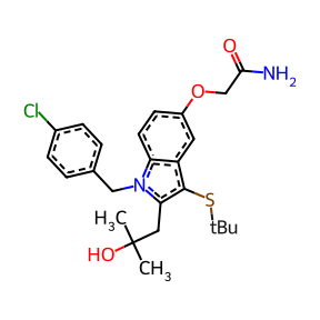 CC(C)(O)Cc1c(SC(C)(C)C)c2cc(OCC(N)=O)ccc2n1Cc1ccc(Cl)cc1